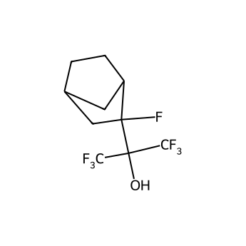 OC(C(F)(F)F)(C(F)(F)F)C1(F)CC2CCC1C2